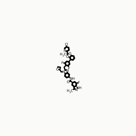 Cc1n[nH]c2c(F)cc(C(=O)Nc3ccc4c(c3)nc(Cc3c(F)cc(-c5cccc6c5O[C@@](C)(c5ccc(Cl)cn5)O6)cc3F)n4CC3CCO3)cc12